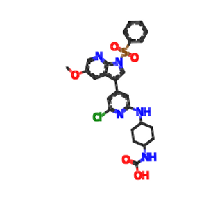 COc1cnc2c(c1)c(-c1cc(Cl)nc(NC3CCC(NC(=O)O)CC3)c1)cn2S(=O)(=O)c1ccccc1